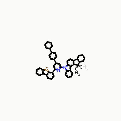 CC1(C)c2ccccc2-c2ccc3c(c21)c1ccccc1n3-c1cc(-c2ccc(-c3ccccc3)cc2)cc(-c2cccc3c2sc2ccccc23)n1